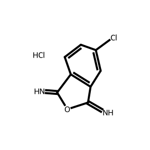 Cl.N=C1OC(=N)c2cc(Cl)ccc21